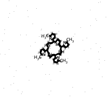 Cc1cccc(-c2c3nc(c(-c4cccc(C)n4)c4ccc([nH]4)c(-c4cccc(C)n4)c4nc(c(-c5cccc(C)n5)c5ccc2[nH]5)C=C4)C=C3)n1